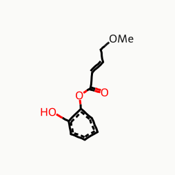 COC/C=C/C(=O)Oc1ccccc1O